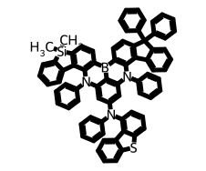 C[Si]1(C)c2ccccc2-c2c1ccc1c2N(c2ccccc2)c2cc(N(c3ccccc3)c3cccc4sc5ccccc5c34)cc3c2B1c1ccc2c(c1N3c1ccccc1)-c1ccccc1C2(c1ccccc1)c1ccccc1